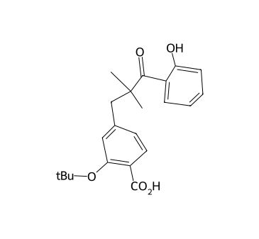 CC(C)(C)Oc1cc(CC(C)(C)C(=O)c2ccccc2O)ccc1C(=O)O